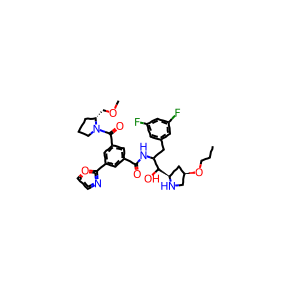 CCCO[C@H]1CN[C@@H](C(O)C(Cc2cc(F)cc(F)c2)NC(=O)c2cc(C(=O)N3CCC[C@@H]3COC)cc(-c3ncco3)c2)C1